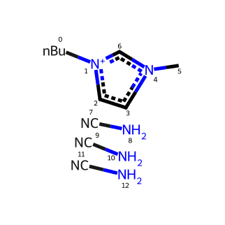 CCCC[n+]1ccn(C)c1.N#CN.N#CN.N#CN